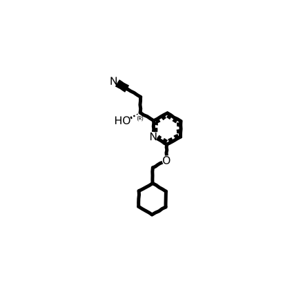 N#CC[C@@H](O)c1cccc(OCC2CCCCC2)n1